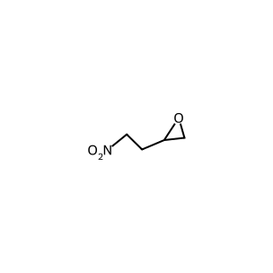 O=[N+]([O-])CCC1CO1